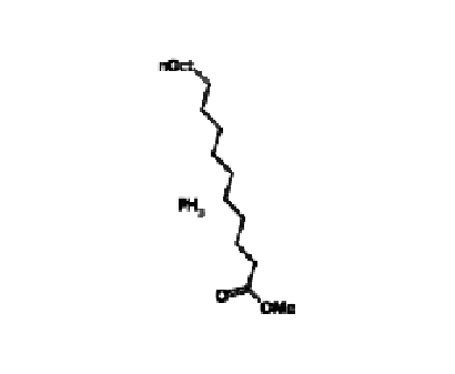 CCCCCCCCCCCCCCCCCC(=O)OC.P